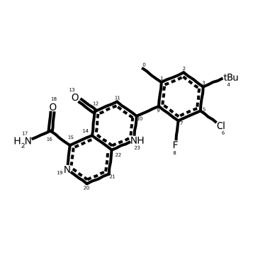 Cc1cc(C(C)(C)C)c(Cl)c(F)c1-c1cc(=O)c2c(C(N)=O)nccc2[nH]1